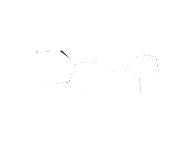 Cc1ccsc1CN[C@H](CC(C)C)C(=O)C(C)(C)C